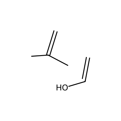 C=C(C)C.C=CO